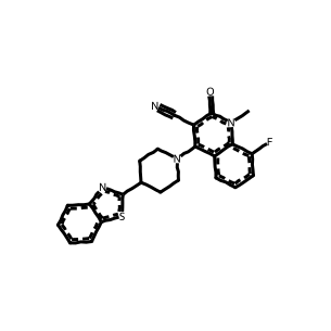 Cn1c(=O)c(C#N)c(N2CCC(c3nc4ccccc4s3)CC2)c2cccc(F)c21